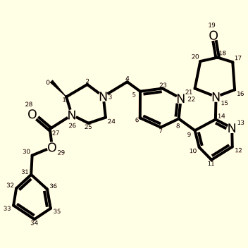 C[C@H]1CN(Cc2ccc(-c3cccnc3N3CCC(=O)CC3)nc2)CCN1C(=O)OCc1ccccc1